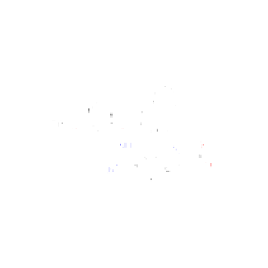 COc1cccc(Oc2cc(Cn3c(C(=O)O)cc4ccc(C(=N)N)cc43)c3ccccc3c2)c1